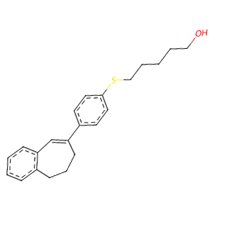 OCCCCCSc1ccc(C2=Cc3ccccc3CCC2)cc1